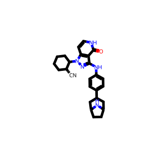 N#CC1CCCCC1n1nc(Nc2ccc(C3CC4CCC(C3)N4)cc2)c2c(=O)[nH]ccc21